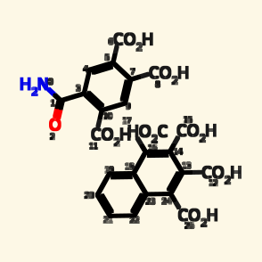 NC(=O)c1cc(C(=O)O)c(C(=O)O)cc1C(=O)O.O=C(O)c1c(C(=O)O)c(C(=O)O)c2ccccc2c1C(=O)O